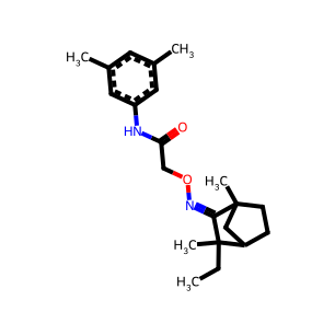 CCC1(C)/C(=N/OCC(=O)Nc2cc(C)cc(C)c2)C2(C)CCC1C2